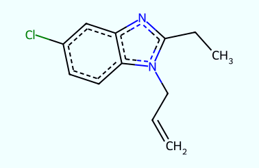 C=CCn1c(CC)nc2cc(Cl)ccc21